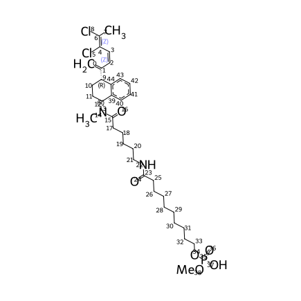 C=C(/C=C\C(Cl)=C(/C)Cl)[C@H]1CC[C@@H](N(C)C(=O)CCCCCNC(=O)CCCCCCCCCOP(=O)(O)OC)c2ccccc21